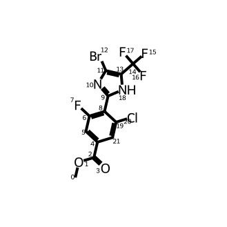 COC(=O)c1cc(F)c(-c2nc(Br)c(C(F)(F)F)[nH]2)c(Cl)c1